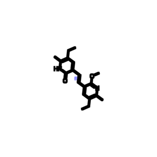 CCc1cc(/C=C/c2cc(CC)c(C)[nH]c2=O)c(OC)nc1C